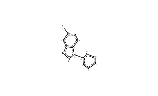 Ic1ccc2c(c1)nnn2-c1ccccn1